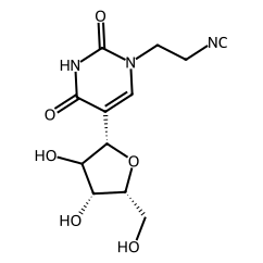 [C-]#[N+]CCn1cc([C@@H]2O[C@H](CO)[C@H](O)C2O)c(=O)[nH]c1=O